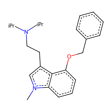 CC(C)N(CCc1cn(C)c2cccc(OCc3ccccc3)c12)C(C)C